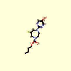 CCCCOC(=O)N1CCN(c2ncc(O)cn2)CC(F)C1